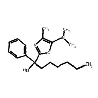 CCCCCCC(O)(c1ccccc1)c1nc(C)c(N(C)C)o1